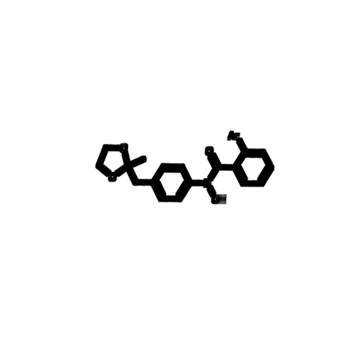 CC(=O)c1ccccc1C(=O)N(O)c1ccc(CC2(C)OCCO2)cc1